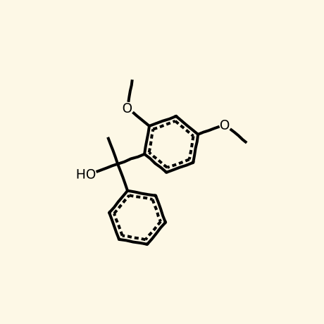 COc1ccc(C(C)(O)c2ccccc2)c(OC)c1